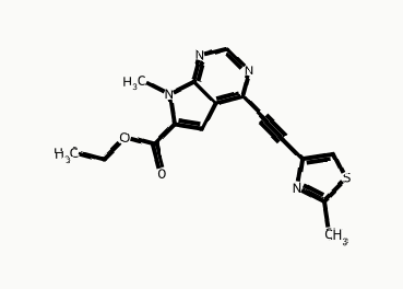 CCOC(=O)c1cc2c(C#Cc3csc(C)n3)ncnc2n1C